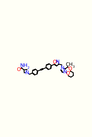 CC(OC1CCCCO1)c1nccn1Cc1cc(-c2ccc(C#Cc3ccc(CN4CC(C(N)=O)C4)cc3)cc2)on1